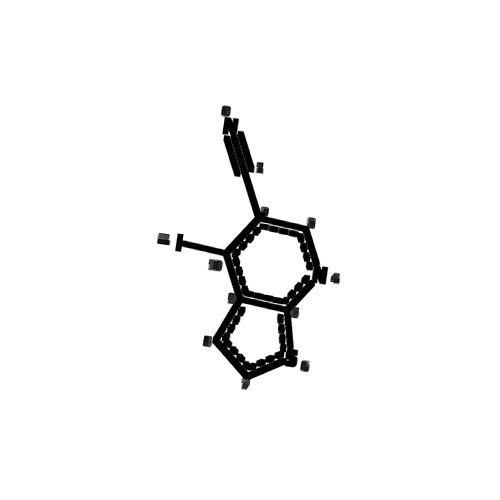 N#Cc1cnc2sccc2c1I